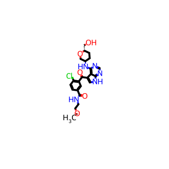 COCCNC(=O)c1ccc(Cl)c(C(=O)c2c[nH]c3ncnc(N[C@@H]4CC[C@@H](CO)OC4)c23)c1